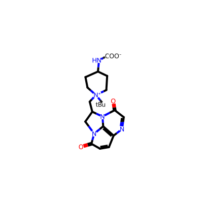 CC(C)(C)[N+]1(CC2Cn3c(=O)ccc4ncc(=O)n2c43)CCC(NC(=O)[O-])CC1